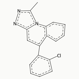 Cc1nnc2cc(-c3ccccc3Cl)c3ccccc3n12